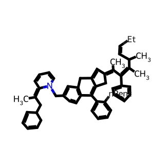 CC/C=C\C(C)/C(C)=C(\C(C)=C1\C=C2Cc3cc(CN4C=CC=C/C4=C(\C)CC4C=CC=CC4)ccc3C(c3ccccc3CCCCC)=C2C1)c1ccccc1